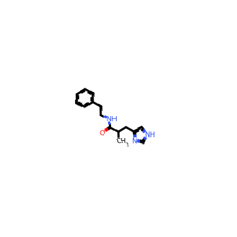 CC(Cc1c[nH]cn1)C(=O)NCCc1ccccc1